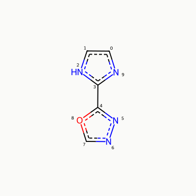 c1c[nH]c(-c2nnco2)n1